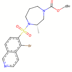 C[C@H]1CN(C(=O)OC(C)(C)C)CCCN1S(=O)(=O)c1ccc2cnccc2c1Br